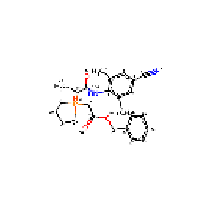 Cc1cc(C#N)cc(C)c1NC(=O)C(C)[PH]1(CC(=O)OCc2ccccc2)CCCC1